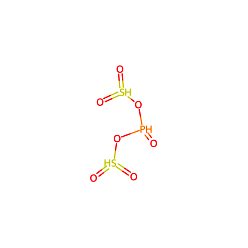 O=[PH](O[SH](=O)=O)O[SH](=O)=O